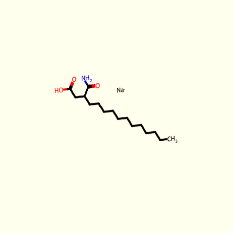 CCCCCCCCCCCCC(CC(=O)O)C(N)=O.[Na]